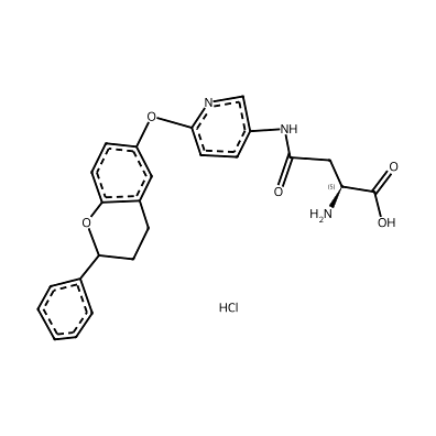 Cl.N[C@@H](CC(=O)Nc1ccc(Oc2ccc3c(c2)CCC(c2ccccc2)O3)nc1)C(=O)O